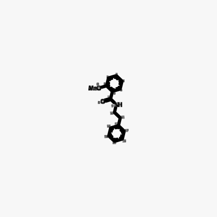 COc1ccccc1C(=O)NCCc1cc[c]cc1